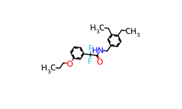 CCCOc1cccc(C(F)(F)C(=O)NCc2ccc(CC)c(CC)c2)c1